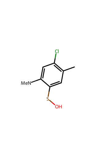 CNc1cc(Cl)c(C)cc1SO